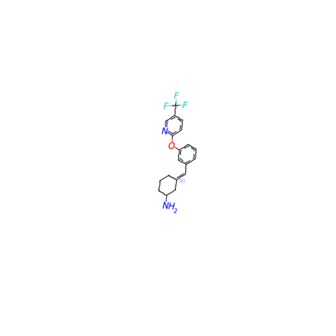 NC1CCC/C(=C\c2cccc(Oc3ccc(C(F)(F)F)cn3)c2)C1